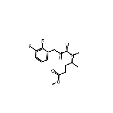 COC(=O)CCC(C)N(C)C(=O)NCc1cccc(F)c1F